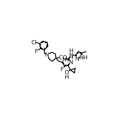 Cc1cc(Nc2nc(CC3(C(=O)O)CCN(Cc4cccc(Cl)c4F)CC3)c(F)c(C3(O)CC3)n2)n[nH]1